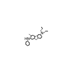 C=CCN(CC=C)c1ccc2c(c1)-c1cc(C)c(Nc3ccccc3)cc1C2